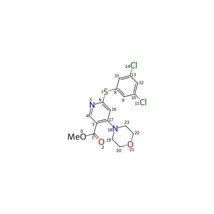 COC(=O)c1cnc(Sc2cc(Cl)cc(Cl)c2)cc1N1CCOCC1